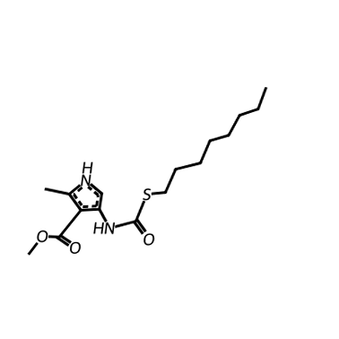 CCCCCCCCSC(=O)Nc1c[nH]c(C)c1C(=O)OC